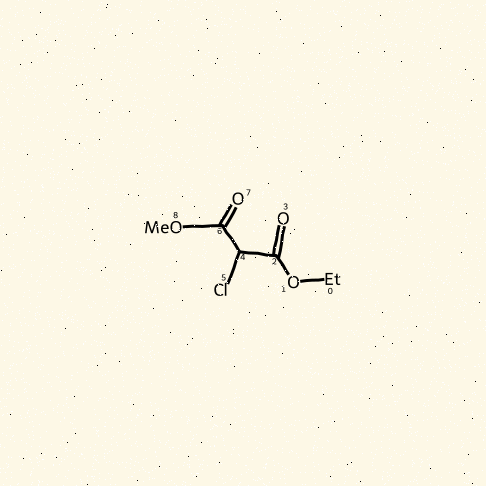 CCOC(=O)C(Cl)C(=O)OC